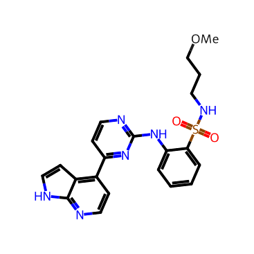 COCCCNS(=O)(=O)c1ccccc1Nc1nccc(-c2ccnc3[nH]ccc23)n1